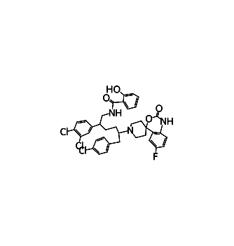 O=C1Nc2ccc(F)cc2C2(CCN(C(CCC(CNC(=O)c3ccccc3O)c3ccc(Cl)c(Cl)c3)Cc3ccc(Cl)cc3)CC2)O1